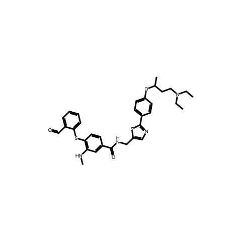 CCN(CC)CCC(C)Oc1ccc(-c2ncc(CNC(=O)c3ccc(Sc4ccccc4C=O)c(NC)c3)s2)cc1